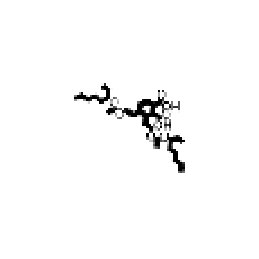 CCCCCC(CC)OC(C)OCCc1ccc(C(=O)O)c(C(=O)O)c1CCOC(C)OC(CC)CCCCC